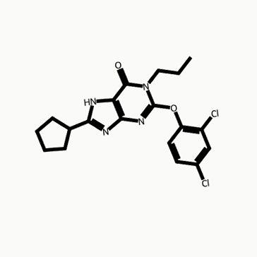 CCCn1c(Oc2ccc(Cl)cc2Cl)nc2nc(C3CCCC3)[nH]c2c1=O